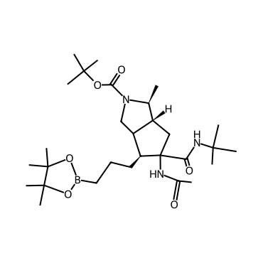 CC(=O)NC1(C(=O)NC(C)(C)C)C[C@@H]2C(CN(C(=O)OC(C)(C)C)[C@H]2C)[C@@H]1CCCB1OC(C)(C)C(C)(C)O1